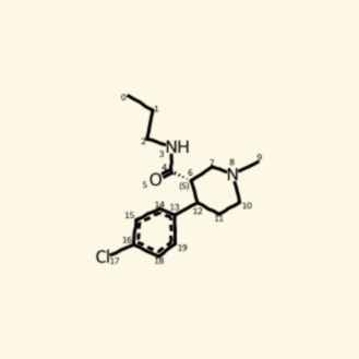 CCCNC(=O)[C@@H]1CN(C)CCC1c1ccc(Cl)cc1